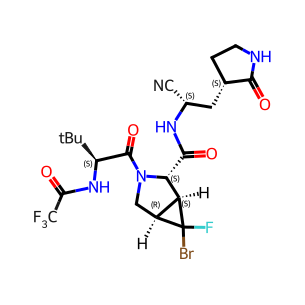 CC(C)(C)[C@H](NC(=O)C(F)(F)F)C(=O)N1C[C@H]2[C@@H]([C@H]1C(=O)N[C@H](C#N)C[C@@H]1CCNC1=O)C2(F)Br